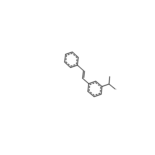 [CH2]C(C)c1cccc(C=Cc2ccccc2)c1